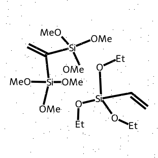 C=C([Si](OC)(OC)OC)[Si](OC)(OC)OC.C=C[Si](OCC)(OCC)OCC